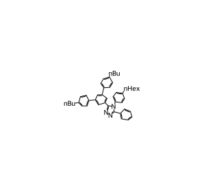 CCCCCCc1ccc(-n2c(-c3ccccc3)nnc2-c2cc(-c3ccc(CCCC)cc3)cc(-c3ccc(CCCC)cc3)c2)cc1